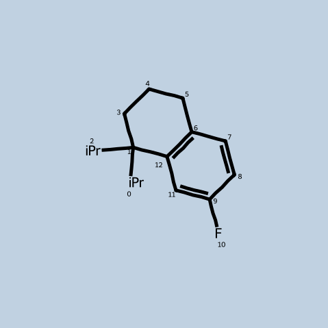 CC(C)C1(C(C)C)CCCc2ccc(F)cc21